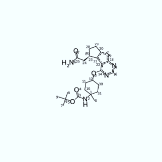 CC1(NC(=O)OC(C)(C)C)CCC(Oc2ncnc3sc4c(c23)[C@@H](CC(N)=O)CC4)CC1